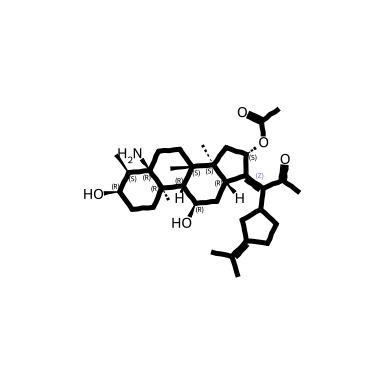 CC(=O)O[C@H]1C[C@@]2(C)[C@@H](C[C@@H](O)[C@@H]3[C@]2(C)CC[C@@]2(N)[C@H](C)[C@H](O)CC[C@]32C)/C1=C(/C(C)=O)C1CCC(=C(C)C)C1